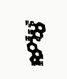 O=C(Nc1c(F)cccc1C(F)(F)F)NC1CCc2c(cnc3[nH]ncc23)C1